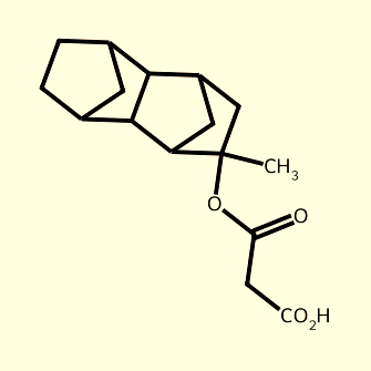 CC1(OC(=O)CC(=O)O)CC2CC1C1C3CCC(C3)C21